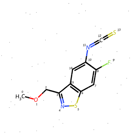 COCc1nsc2cc(F)c(N=C=S)cc12